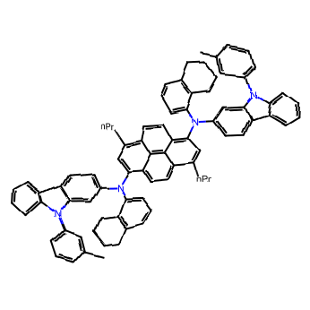 CCCc1cc(N(c2ccc3c4ccccc4n(-c4cccc(C)c4)c3c2)c2cccc3c2CCCC3)c2ccc3c(CCC)cc(N(c4ccc5c6ccccc6n(-c6cccc(C)c6)c5c4)c4cccc5c4CCCC5)c4ccc1c2c34